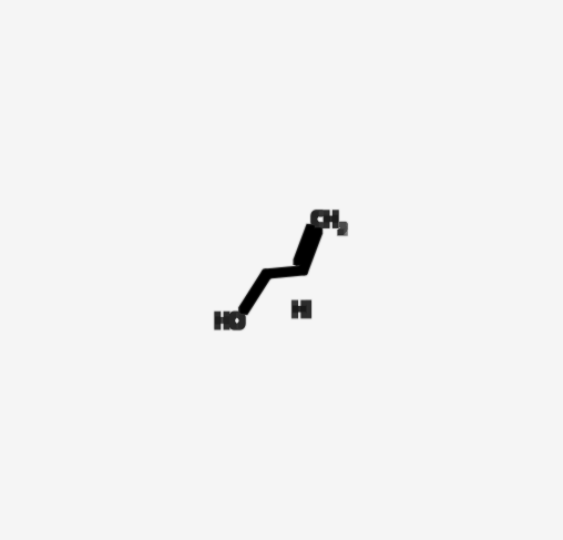 C=CCO.I